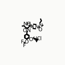 CCCN(C)C(=O)N1CCN(C(=O)c2nc(-c3ccc(OC(F)F)c(OCC4CC4)c3)oc2C(C)N)CC1.Cl